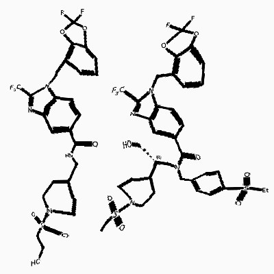 CCS(=O)(=O)c1ccc(CN(C(=O)c2ccc3c(c2)nc(C(F)(F)F)n3Cc2cccc3c2OC(F)(F)O3)[C@@H](CO)C2CCN(S(C)(=O)=O)CC2)cc1.O=C(NCC1CCN(S(=O)(=O)CCO)CC1)c1ccc2c(c1)nc(C(F)(F)F)n2Cc1cccc2c1OC(F)(F)O2